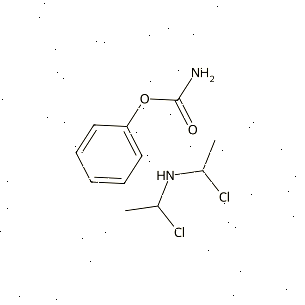 CC(Cl)NC(C)Cl.NC(=O)Oc1ccccc1